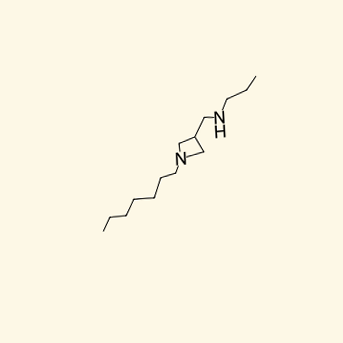 CCCCCCCN1CC(CNCCC)C1